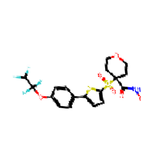 O=C(NO)C1(S(=O)(=O)c2ccc(-c3ccc(OC(F)(F)C(F)F)cc3)s2)CCOCC1